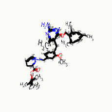 COc1cc(CN2CCC[C@@H]2C(=O)OC(C)(C)C)ccc1Cc1c(C)nc(N)nc1OCc1c(C)cc(C)cc1C